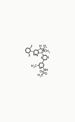 Cc1cc(-c2cncc([C@@]34CC[C@@H](c5cc(-c6c(F)cccc6F)nnc53)C4(C)C)n2)cc(NS(C)(=O)=O)n1